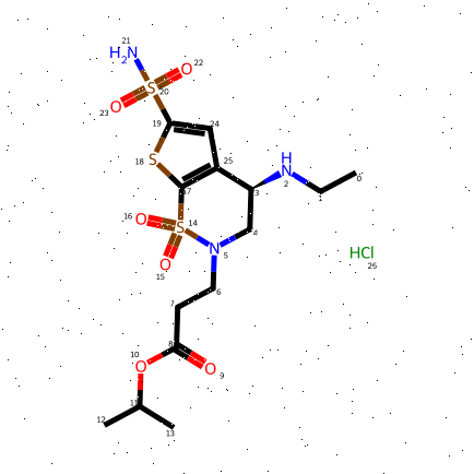 CCN[C@H]1CN(CCC(=O)OC(C)C)S(=O)(=O)c2sc(S(N)(=O)=O)cc21.Cl